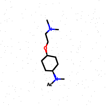 CC(=O)N(C)[C@H]1CC[C@@H](OCCN(C)C)CC1